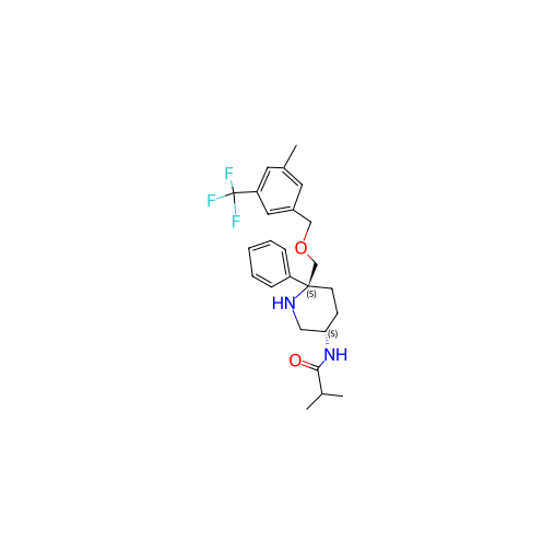 Cc1cc(COC[C@@]2(c3ccccc3)CC[C@H](NC(=O)C(C)C)CN2)cc(C(F)(F)F)c1